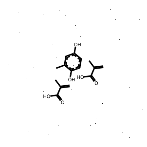 C=C(C)C(=O)O.C=C(C)C(=O)O.Cc1cc(O)ccc1O